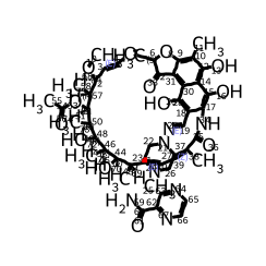 CO[C@H]1/C=C/O[C@@]2(C)Oc3c(C)c(O)c4c(O)c(c(/C=N/N5CCN(C)CC5)c(O)c4c3C2=O)NC(=O)/C(C)=C\C=C\[C@H](C)[C@H](O)[C@@H](C)[C@@H](O)[C@@H](C)[C@H](OC(C)=O)[C@@H]1C.NC(=O)c1cnccn1